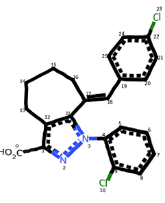 O=C(O)c1nn(-c2ccccc2Cl)c2c1CCCCC2=Cc1ccc(Cl)cc1